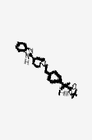 CC1(C)COC(C(C)(C)c2ccc(CCN3CCC(c4nc5ccccc5[nH]4)CC3)cc2)N1